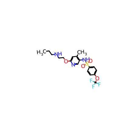 CCCNCCOc1cc(C)c(NS(=O)(=O)c2ccc(OC(F)(F)F)cc2)cn1